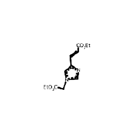 CCOC(=O)C=Cc1cn(CC(=O)OCC)cn1